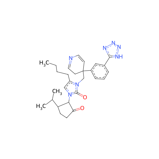 CCCCc1cn(C2C(=O)CCC2C(C)C)c(=O)n1CC1(c2cccc(-c3nnn[nH]3)c2)C=CN=CC1